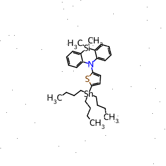 CCC[CH2][Sn]([CH2]CCC)([CH2]CCC)[c]1ccc(N2c3ccccc3[Si](C)(C)c3ccccc32)s1